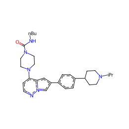 CCCCNC(=O)N1CCN(c2ccnn3cc(-c4ccc(C5CCN(C(C)C)CC5)cc4)cc23)CC1